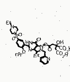 CCCOc1ccc(S(=O)(=O)N2CCN(CC)CC2)cc1-c1nc2c(c(=O)[nH]1)N(OC(=O)CC(O)(CC(=O)O)C(=O)O)N(Cc1ccccn1)C2CC